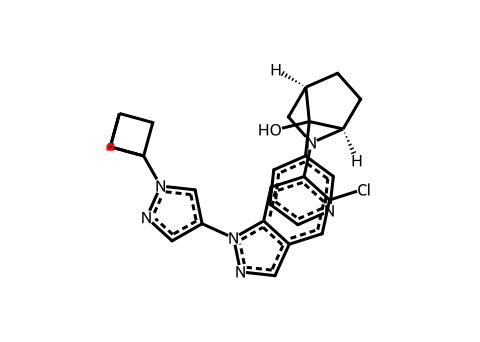 OC1(c2cccnc2)[C@@H]2CC[C@H]1N(c1cc3c(cnn3-c3cnn(C45CC(C4)C5)c3)cc1Cl)C2